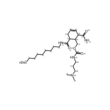 CCCCCCCCCCCCCCCCCCNC(=O)C1CC=CC(C(N)=O)C1COC(=O)NCCCN(C)C